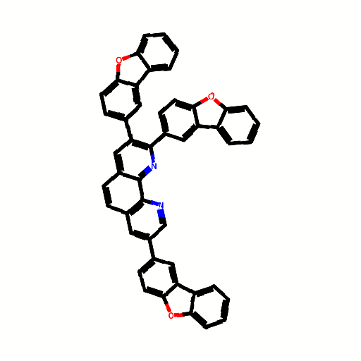 c1ccc2c(c1)oc1ccc(-c3cnc4c(ccc5cc(-c6ccc7oc8ccccc8c7c6)c(-c6ccc7oc8ccccc8c7c6)nc54)c3)cc12